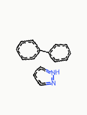 c1ccc(-c2ccccc2)cc1.c1cn[nH]c1